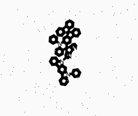 c1ccc(N2c3ccccc3C3(c4cc5c(cc42)C2(c4ccccc4-c4ccccc42)c2ccccc2-5)c2cccnc2-c2ncc(-n4c5ccccc5c5cc6c7ccccc7n(-c7ccccc7)c6cc54)cc23)cc1